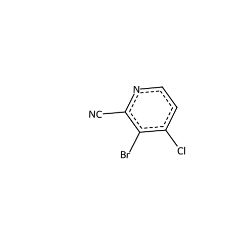 N#Cc1nccc(Cl)c1Br